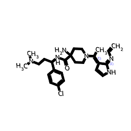 C=C/N=C1/NC=C/C1=C(/C)N1CCC(N)(C(=O)NC(CCN(C)C)c2ccc(Cl)cc2)CC1